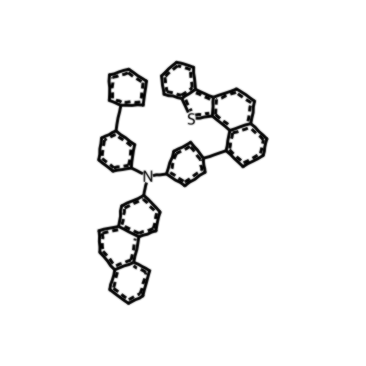 c1ccc(-c2cccc(N(c3ccc(-c4cccc5ccc6c7ccccc7sc6c45)cc3)c3ccc4c(ccc5ccccc54)c3)c2)cc1